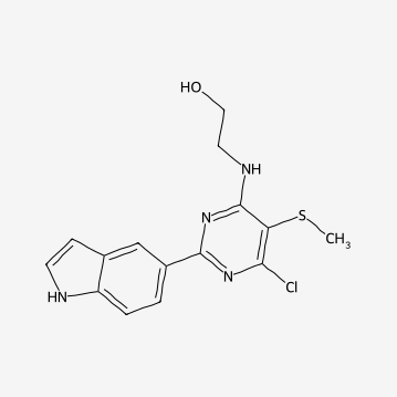 CSc1c(Cl)nc(-c2ccc3[nH]ccc3c2)nc1NCCO